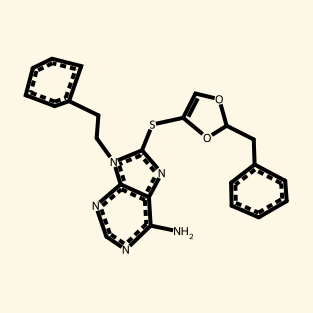 Nc1ncnc2c1nc(SC1=COC(Cc3ccccc3)O1)n2CCc1ccccc1